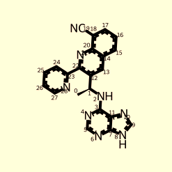 C[C@H](Nc1ncnc2[nH]cnc12)c1cc2cccc(C#N)c2nc1-c1ccccn1